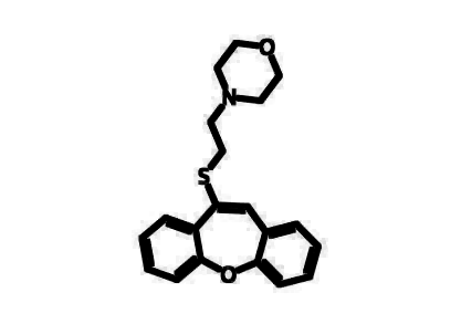 C1=C(SCCN2CCOCC2)c2ccccc2Oc2ccccc21